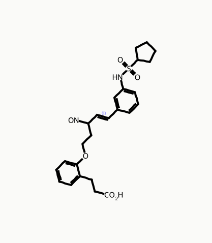 O=NC(/C=C/c1cccc(NS(=O)(=O)C2CCCC2)c1)CCOc1ccccc1CCC(=O)O